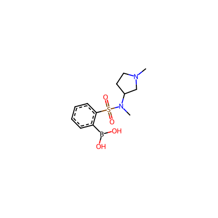 CN1CCC(N(C)S(=O)(=O)c2ccccc2B(O)O)C1